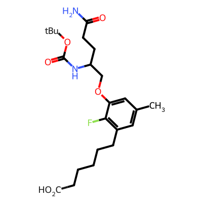 Cc1cc(CCCCCC(=O)O)c(F)c(OCC(CCC(N)=O)NC(=O)OC(C)(C)C)c1